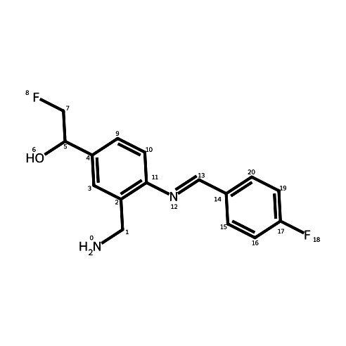 NCc1cc(C(O)CF)ccc1N=Cc1ccc(F)cc1